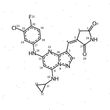 O=C1CC(=Cc2cnn3c(NC4CC4)cc(Nc4ccc(F)c(Cl)c4)nc23)C(=O)N1